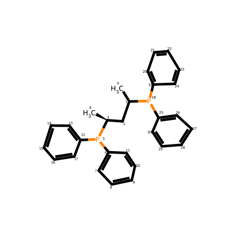 CC(C[C@H](C)P(c1ccccc1)c1ccccc1)P(c1ccccc1)c1ccccc1